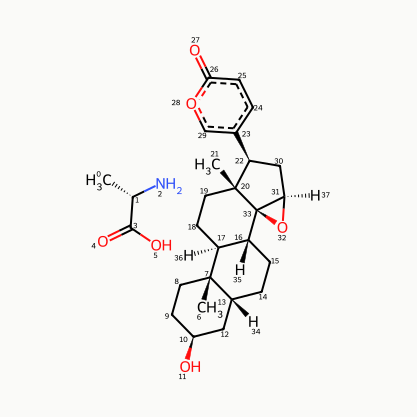 C[C@H](N)C(=O)O.C[C@]12CC[C@H](O)C[C@H]1CC[C@@H]1[C@@H]2CC[C@]2(C)[C@@H](c3ccc(=O)oc3)C[C@H]3O[C@]132